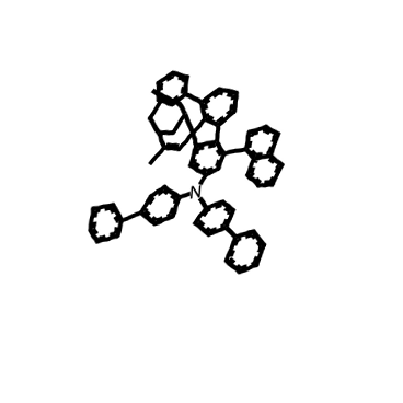 CC1=CC2(c3cc(N(c4ccc(-c5ccccc5)cc4)c4ccc(-c5ccccc5)cc4)cc(-c4cccc5ccccc45)c3-c3cccc(-c4ccccc4)c32)C2CC(C)CC1C2